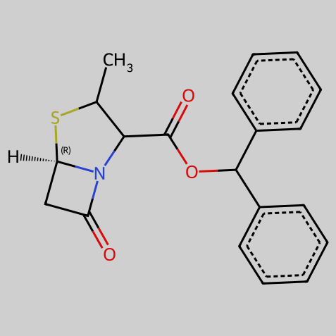 CC1S[C@@H]2CC(=O)N2C1C(=O)OC(c1ccccc1)c1ccccc1